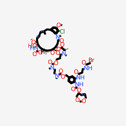 COc1cc2cc(c1Cl)N(C)C(=O)C[C@H](OC(=O)[C@H](C)N(C)C(=O)CCOC(=O)N(C)CCN(C)C(=O)OCc1ccc(NC(=O)OC3/C=C/COCOC3)c(NC(=O)CCNC(=O)CBr)c1)[C@]1(C)OC1[C@H](C)[C@@H]1C[C@@](O)(NC(=O)O1)[C@H](OC)/C=C/C=C(\C)C2